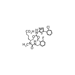 CN(C(=O)NCc1cccc(F)c1F)[C@@H](CCCC(=O)O)COC(=O)Nc1nnc(-c2ccccc2Cl)s1